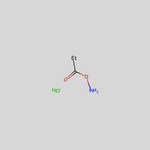 CCC(=O)ON.Cl